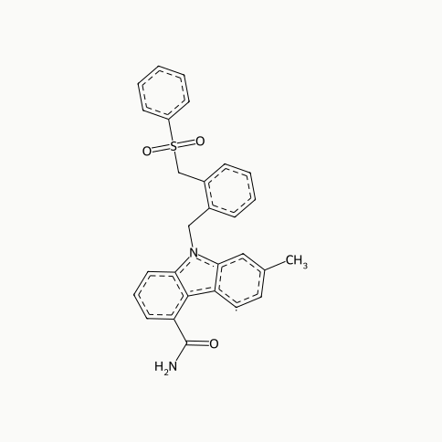 Cc1c[c]c2c3c(C(N)=O)cccc3n(Cc3ccccc3CS(=O)(=O)c3ccccc3)c2c1